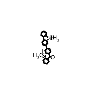 C[Si@H]1c2ccccc2C(=O)c2ccc(-c3ccc4c(c3)[Si@H](C)c3ccccc3-4)cc21